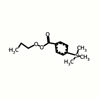 [CH2]CCOOC(=O)c1ccc([Si](C)(C)C)cc1